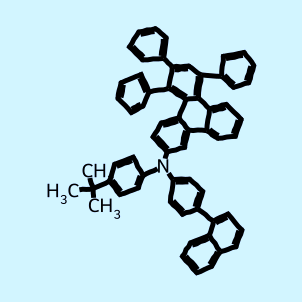 CC(C)(C)c1ccc(N(c2ccc(-c3cccc4ccccc34)cc2)c2ccc3c(c2)c2ccccc2c2c(-c4ccccc4)cc(-c4ccccc4)c(-c4ccccc4)c32)cc1